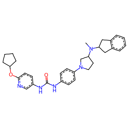 CN(C1Cc2ccccc2C1)C1CCN(c2ccc(NC(=O)Nc3ccc(OC4CCCC4)nc3)cc2)C1